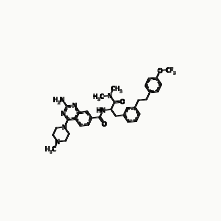 CN1CCN(c2nc(N)nc3cc(C(=O)NC(Cc4cccc(CCc5ccc(OC(F)(F)F)cc5)c4)C(=O)N(C)C)ccc23)CC1